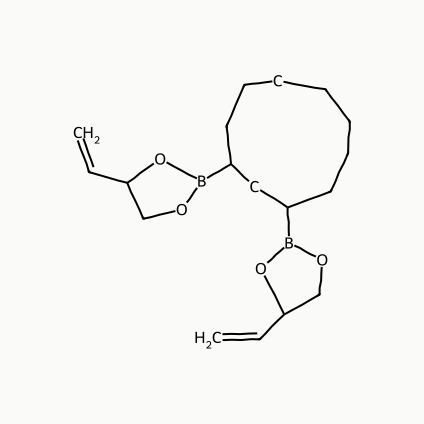 C=CC1COB(C2CCCCCCCC(B3OCC(C=C)O3)C2)O1